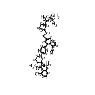 Cc1cccc(Cl)c1C(=O)NC1CN(c2cnc(-c3cc(OCC4CN(C(=O)OC(C)(C)C)CCO4)cn4ncc(C#N)c34)cn2)CCC1C